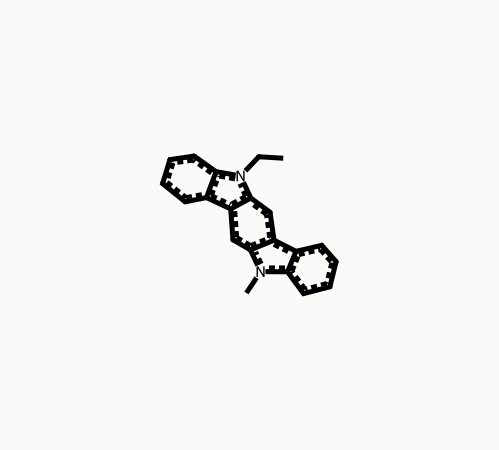 CCn1c2ccccc2c2cc3c(cc21)c1ccccc1n3C